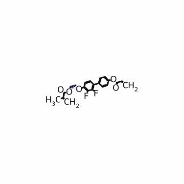 C=CC(=O)Oc1ccc(-c2ccc(O/C=C\OC(=O)C(=C)C)c(F)c2F)cc1